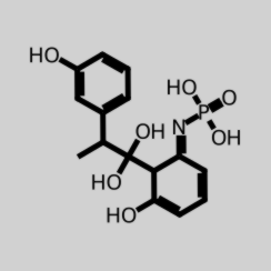 CC(c1cccc(O)c1)C(O)(O)C1C(O)=CC=CC1=NP(=O)(O)O